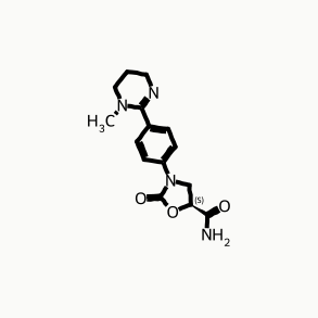 CN1CCCN=C1c1ccc(N2C[C@@H](C(N)=O)OC2=O)cc1